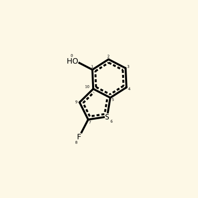 Oc1cccc2sc(F)cc12